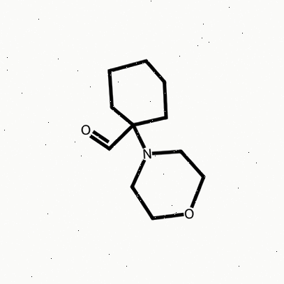 O=CC1(N2CCOCC2)CCCCC1